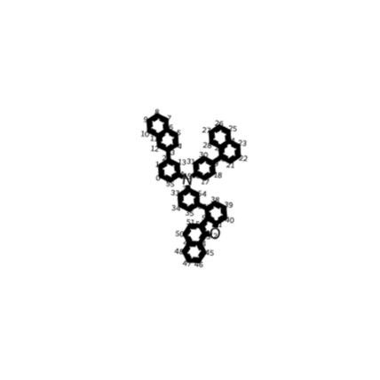 c1cc(-c2ccc3ccccc3c2)cc(N(c2ccc(-c3cccc4ccccc34)cc2)c2cccc(-c3cccc4oc5c6ccccc6ccc5c34)c2)c1